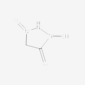 CN1N[N+](=O)CC1=O